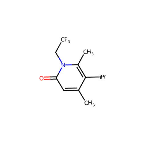 Cc1cc(=O)n(CC(F)(F)F)c(C)c1C(C)C